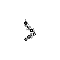 O=C(CC(=O)Nc1ccc(Oc2cc(NC(=O)N3CCC(N4CCCC4)CC3)ncn2)c(F)c1)Nc1ccc(F)cc1